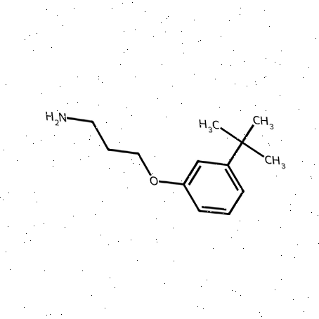 CC(C)(C)c1cccc(OCCCN)c1